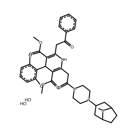 COC(=O)C1=C(CC(=O)c2ccccc2)NC(CC(=O)N2CCN(C3CC4CCC(C3)N4C)CC2)=C(C(=O)OC)C1c1c(Cl)cccc1Cl.Cl.Cl